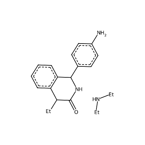 CCC1C(=O)NC(c2ccc(N)cc2)c2ccccc21.CCNCC